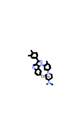 COc1ccc2ncc3c(-c4ccc(C)c(C)c4)nn(-c4cc(N5CCC(N(C)C)CC5)ccc4C)c3c2c1